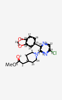 COC(=O)CC1CCN(c2nc(Cl)cnc2-c2ccc3c(c2)OCO3)CC1